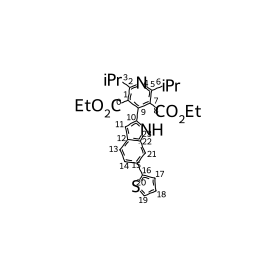 CCOC(=O)c1c(C(C)C)nc(C(C)C)c(C(=O)OCC)c1-c1cc2ccc(-c3cccs3)cc2[nH]1